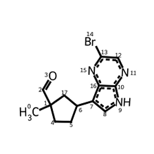 CC1(C=O)CCC(c2c[nH]c3ncc(Br)nc23)C1